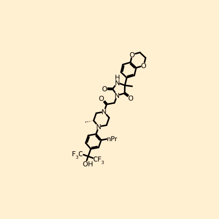 CCCc1cc(C(O)(C(F)(F)F)C(F)(F)F)ccc1N1CCN(C(=O)CN2C(=O)NC(C)(c3ccc4c(c3)OCCO4)C2=O)C[C@H]1C